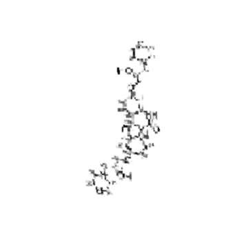 O=c1[nH]c2cc(OCC(O)CN3CCOCC3)ccc2c2oc3cc(OCC(O)CN4CCOCC4)ccc3c12